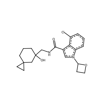 O=C(NCC1(O)CCCC2(CC2)C1)c1cn(C2CCO2)c2cccc(Cl)c12